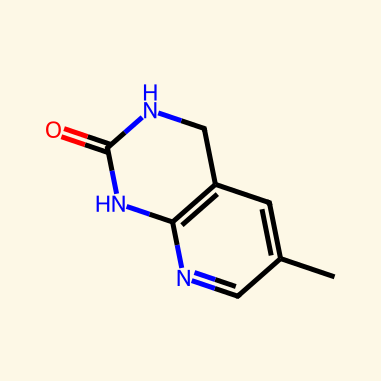 Cc1cnc2c(c1)CNC(=O)N2